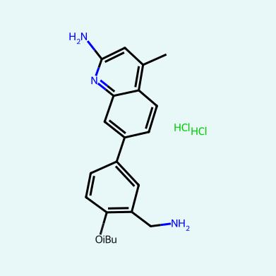 Cc1cc(N)nc2cc(-c3ccc(OCC(C)C)c(CN)c3)ccc12.Cl.Cl